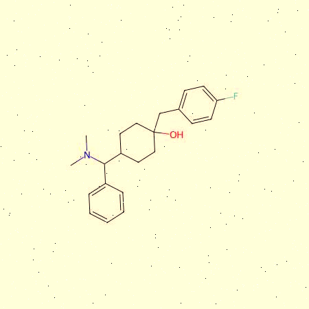 CN(C)C(c1ccccc1)C1CCC(O)(Cc2ccc(F)cc2)CC1